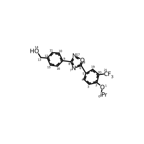 CC(C)Oc1ccc(-c2nc(-c3ccc(CO)cc3)no2)cc1C(F)(F)F